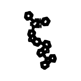 c1ccc(C2=NC(c3ccc4oc5ccc(-c6cccc7oc8c(-n9c%10ccccc%10c%10ccccc%109)cccc8c67)cc5c4c3)NC(c3ccccc3)N2)cc1